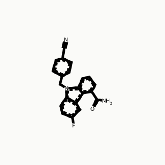 N#Cc1ccc(Cn2c3ccc(F)[c]c3c3c(C(N)=O)cccc32)cc1